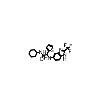 O=C(NC1CCCCC1)C(Nc1ccc2[nH]c(C(F)(F)F)nc2c1)c1cccs1